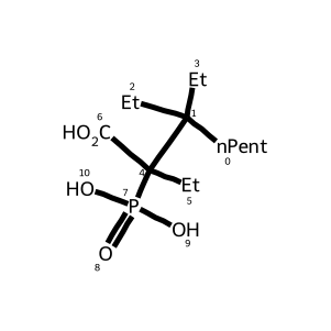 CCCCCC(CC)(CC)C(CC)(C(=O)O)P(=O)(O)O